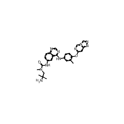 Cc1cc(Nc2ncnc3ccc(NC(=O)N(C)CC(C)(C)N)cc23)ccc1Oc1cc2nncn2cn1